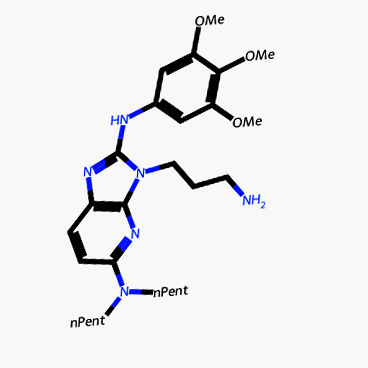 CCCCCN(CCCCC)c1ccc2nc(Nc3cc(OC)c(OC)c(OC)c3)n(CCCN)c2n1